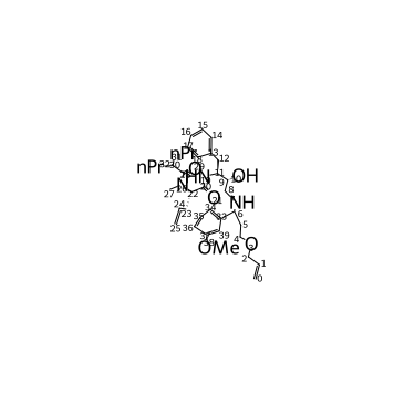 C=CCOCCC(NC[C@@H](O)[C@H](Cc1ccccc1)NC(=O)[C@H](CC=C)N(C)C(=O)C(CCC)CCC)c1cccc(OC)c1